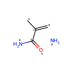 C=C(C)C(N)=O.N